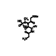 CCC[C@H](NC(=O)CN)C(=O)N(C(=O)CNC)[C@@H](C)P(=O)(O)O